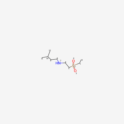 CCS(=O)(=O)CCNCCC(C)C